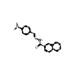 CN(C)c1ccc(/C=N/NC(=O)c2ccc3ccccc3c2)cc1